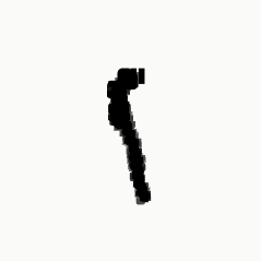 CCCCCCCCCCCCCCCCCCc1ccc2sc(SOC(=O)CCC(=O)O)nc2c1